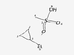 CCC1CC1.CS(=O)(=O)O